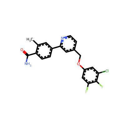 Cc1cc(-c2cc(COc3cc(F)c(F)c(Cl)c3)ccn2)ccc1C(N)=O